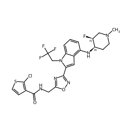 CN1CC[C@@H](Nc2cccc3c2cc(-c2noc(CNC(=O)c4ccsc4Cl)n2)n3CC(F)(F)F)[C@@H](F)C1